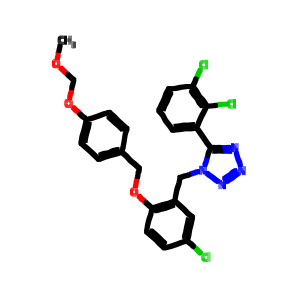 COCOc1ccc(COc2ccc(Cl)cc2Cn2nnnc2-c2cccc(Cl)c2Cl)cc1